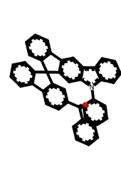 O=C(c1ccccc1)c1ccc2c(c1)C1(c3ccccc3-2)c2ccccc2-c2cc3c4ccccc4n(-c4ccccc4)c3cc21